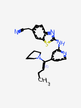 CC/C=C(/c1ccnc(Nc2nc3ccc(C#N)cc3s2)c1)N1CCCC1